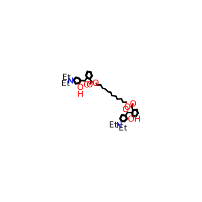 CCN(CC)c1ccc(C(=O)c2ccccc2C(=O)OCCCCCCCCCCCCOC(=O)c2ccccc2C(=O)c2ccc(N(CC)CC)cc2O)c(O)c1